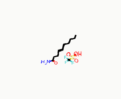 CCCCCCCCCC(N)=O.O=S(=O)(O)C(F)(F)F